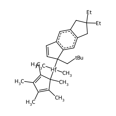 CCC1(CC)Cc2cc3c(cc2C1)[C](CC(C)(C)C)([Hf]([CH3])([CH3])[C]1(C)C(C)=C(C)C(C)=C1C)C=C3